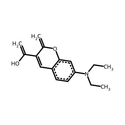 C=C(O)C1=Cc2ccc(N(CC)CC)cc2OC1=C